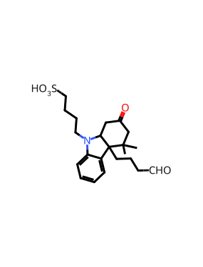 CC1(C)CC(=O)CC2N(CCCCS(=O)(=O)O)c3ccccc3C21CCCC=O